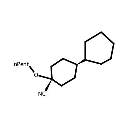 CCCCCO[C@]1(C#N)CC[C@@H](C2CCCCC2)CC1